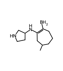 BC1=C(NC2CCNC2)CC(C)CCC1